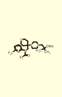 CCC(=O)N(CC1(N2CCN(CC(C)(C)OC)CC2)CCOCC1)c1cccc(C(F)(F)F)n1